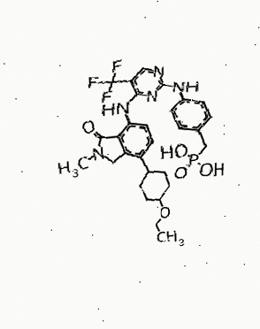 CCOC1CCC(c2ccc(Nc3nc(Nc4ccc(CP(=O)(O)O)cc4)ncc3C(F)(F)F)c3c2CN(C)C3=O)CC1